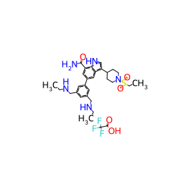 CCNCc1cc(CNCC)cc(-c2cc(C(N)=O)c3[nH]cc(C4CCN(S(=O)(=O)CC)CC4)c3c2)c1.O=C(O)C(F)(F)F